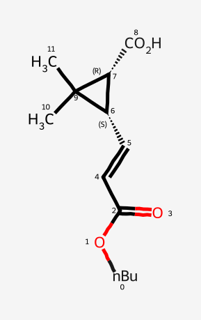 CCCCOC(=O)C=C[C@H]1[C@@H](C(=O)O)C1(C)C